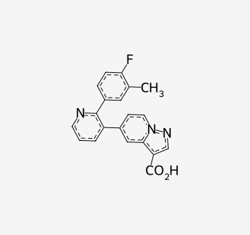 Cc1cc(-c2ncccc2-c2ccn3ncc(C(=O)O)c3c2)ccc1F